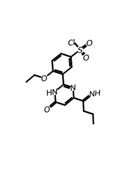 CCCC(=N)c1cc(=O)[nH]c(-c2cc(S(=O)(=O)Cl)ccc2OCC)n1